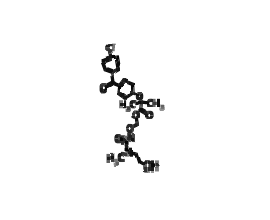 CN(CCO)[N+]([O-])=NOCOC(=O)C(C)(C)Oc1ccc(C(=O)c2ccc(Cl)cc2)cc1